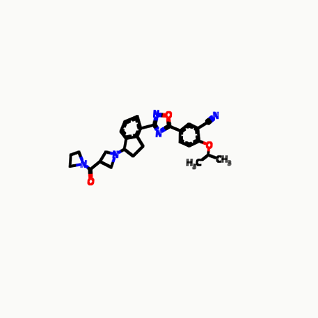 CC(C)Oc1ccc(-c2nc(-c3cccc4c3CCC4N3CC(C(=O)N4CCC4)C3)no2)cc1C#N